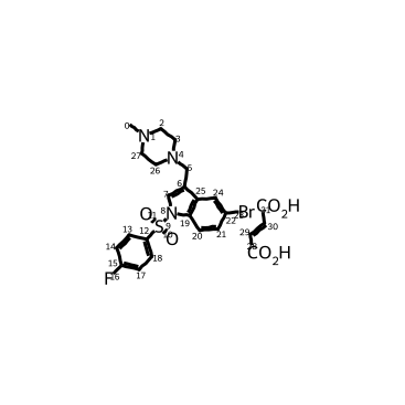 CN1CCN(Cc2cn(S(=O)(=O)c3ccc(F)cc3)c3ccc(Br)cc23)CC1.O=C(O)C=CC(=O)O